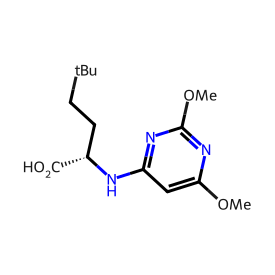 COc1cc(N[C@@H](CCC(C)(C)C)C(=O)O)nc(OC)n1